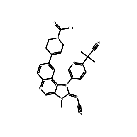 Cn1c(=NC#N)n(-c2ccc(C(C)(C)C#N)nc2)c2c3cc(C4=CCN(C(=O)O)CC4)ccc3ncc21